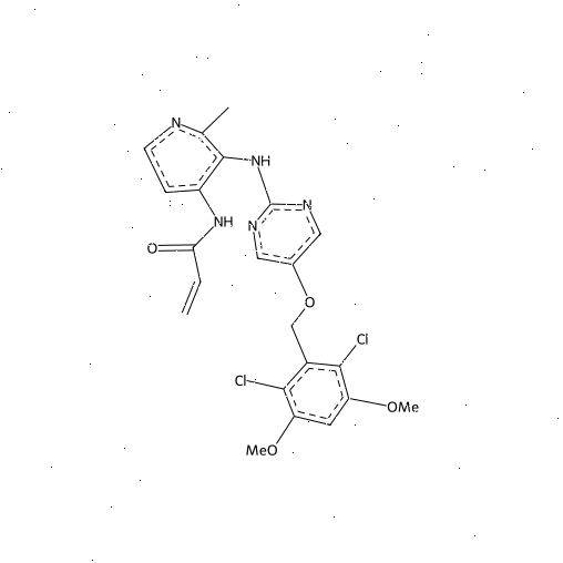 C=CC(=O)Nc1ccnc(C)c1Nc1ncc(OCc2c(Cl)c(OC)cc(OC)c2Cl)cn1